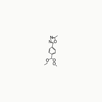 CCOC(OOC)c1ccc(-c2nnc(C)o2)cc1